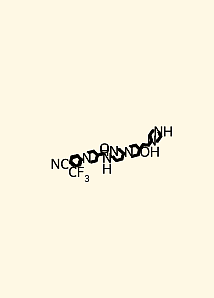 N#Cc1ccc(N2CCC(C(=O)NC3CCC(N4CCC(O)(CCN5CCNCC5)CC4)CN3)CC2)cc1C(F)(F)F